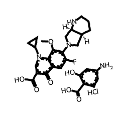 COc1c(N2C[C@@H]3CCCN[C@@H]3C2)c(F)cc2c(=O)c(C(=O)O)cn(C3CC3)c12.Cl.Nc1ccc(C(=O)O)c(O)c1